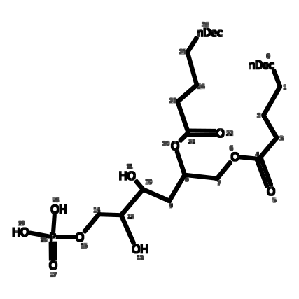 CCCCCCCCCCCCCC(=O)OCC(CC(O)C(O)COP(=O)(O)O)OC(=O)CCCCCCCCCCCCC